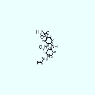 NS(=O)(=O)c1ccc(NC2CCN(CCCF)CC2)c([N+](=O)[O-])c1